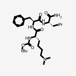 CC(C)C[C@H](NC(=O)[C@H](Cc1ccccc1)NC(=O)[C@H](CCCCN(C)C)NC(=O)OC(C)(C)C)C(N)=O